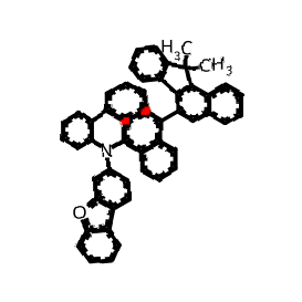 CC1(C)c2ccccc2-c2c(-c3ccc(N(c4ccc5c(c4)oc4ccccc45)c4ccccc4-c4ccccc4)c4ccccc34)cc3ccccc3c21